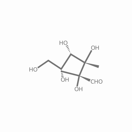 C[C@](O)(C=O)[C@@](C)(O)[C@@H](O)[C@H](O)CO